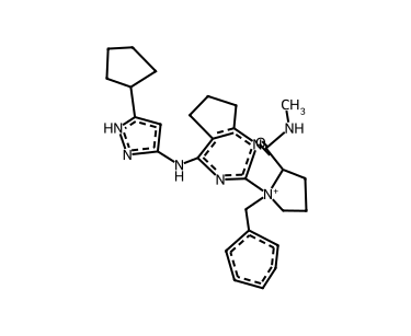 CNC(=O)C1CCC[N+]1(Cc1ccccc1)c1nc2c(c(Nc3cc(C4CCCC4)[nH]n3)n1)CCC2